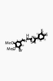 COc1cc(C=NNc2nc(-c3ccc(F)c(F)c3)cs2)cc(Br)c1OC